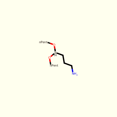 CCCCCO[SiH](CCCN)OCCCCC